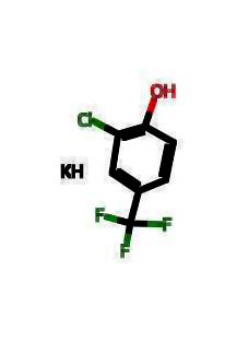 Oc1ccc(C(F)(F)F)cc1Cl.[KH]